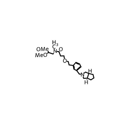 COC(CN(C)C(=O)CCOCCc1cccc(CN2C[C@H]3CCC[C@H]3C2)c1)OC